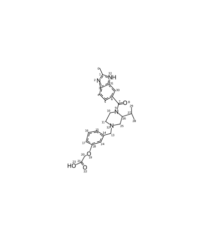 Cc1nc2ccc(C(=O)N3CCN(Cc4cccc(OCC(=O)O)c4)CC3C(C)C)cc2[nH]1